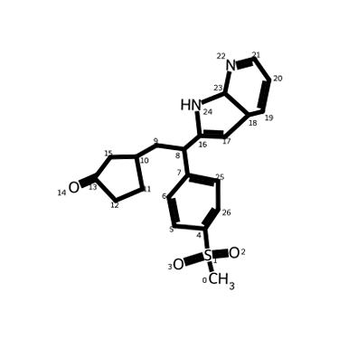 CS(=O)(=O)c1ccc(C(CC2CCC(=O)C2)C2=CC3C=CC=NC3N2)cc1